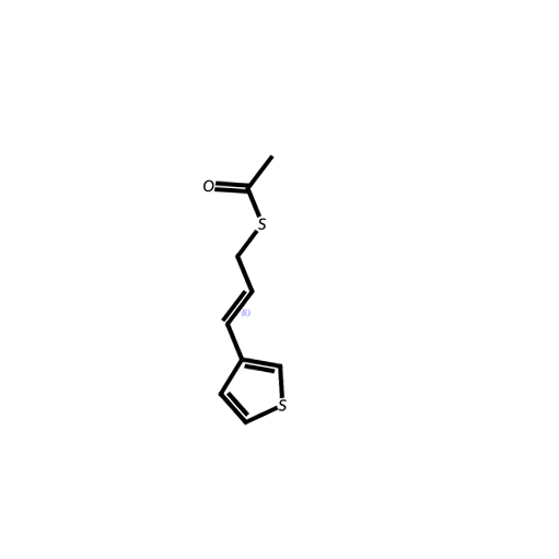 CC(=O)SC/C=C/c1ccsc1